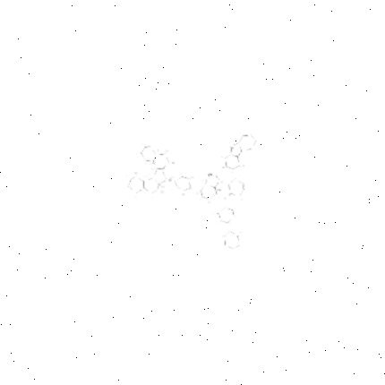 c1ccc(-c2ccc(N(c3cccc(-c4ccc5oc6ccccc6c5c4)c3)c3ccc(-c4ccc(-n5c6ccc7ccccc7c6c6c7ccccc7ccc65)cc4)c4nsnc34)cc2)cc1